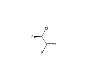 C=C(F)[C@@H](F)Cl